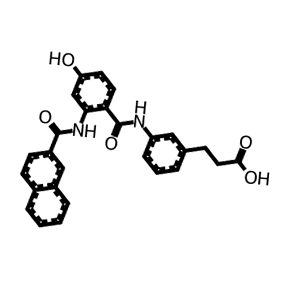 O=C(O)CCc1cccc(NC(=O)c2ccc(O)cc2NC(=O)c2ccc3ccccc3c2)c1